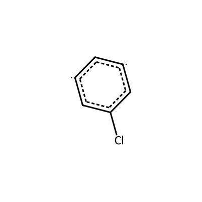 Clc1c[c]c[c]c1